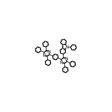 c1ccc(-c2nc(-c3ccccc3)c(-c3ccc(-c4nc(-c5ccccc5)c(-c5ccccc5)nc4-c4ccc5c6ccccc6n(-c6ccccc6)c5c4)cc3)nc2-c2ccccc2)cc1